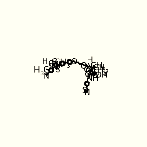 Cc1cc(N2C(=O)C(C)(C)N(c3ccc(-c4ccc(OCCCCOCC(=O)N[C@H](C(=O)N5C[C@H](O)C[C@H]5C(=O)NCc5ccc(-c6cncs6)cc5)C(C)(C)C)cc4)cc3)C2=S)ccc1C#N